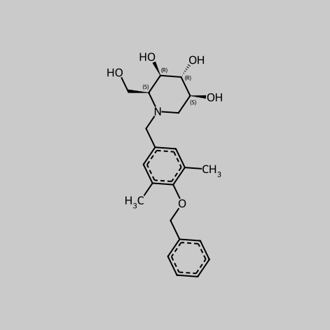 Cc1cc(CN2C[C@H](O)[C@@H](O)[C@H](O)[C@@H]2CO)cc(C)c1OCc1ccccc1